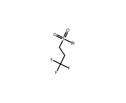 O=S(=O)(Br)CCC(F)(F)F